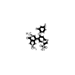 CCS(=O)(=O)c1cnc2cc(Oc3ccc(F)cc3F)c(-c3cn(C)c(=O)c4c3CN(C)C4)cn12